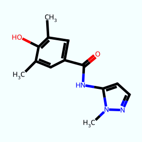 Cc1cc(C(=O)Nc2ccnn2C)cc(C)c1O